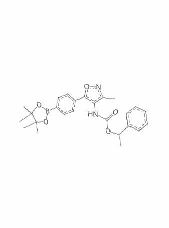 Cc1noc(-c2ccc(B3OC(C)(C)C(C)(C)O3)cc2)c1NC(=O)OC(C)c1ccccc1